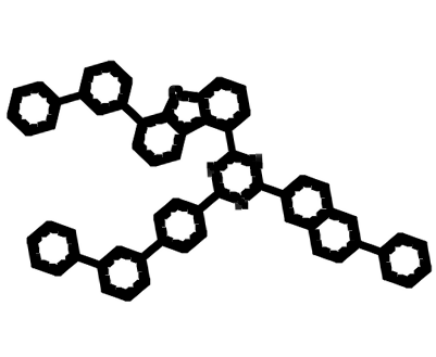 c1ccc(-c2cccc(-c3ccc(-c4nc(-c5ccc6cc(-c7ccccc7)ccc6c5)nc(-c5cccc6oc7c(-c8cccc(-c9ccccc9)c8)cccc7c56)n4)cc3)c2)cc1